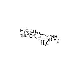 CN(C)[C@](C)(CN)Cc1ccc(O[Si](C)(C)C(C)(C)C)cc1